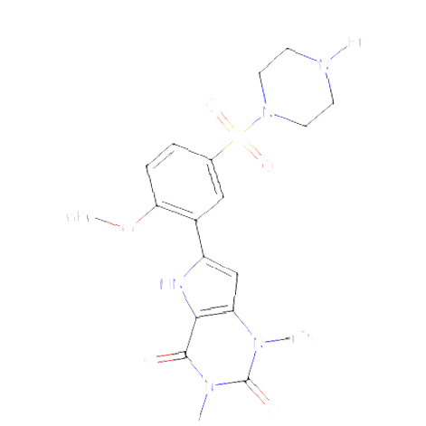 CCCOc1ccc(S(=O)(=O)N2CCN(CC)CC2)cc1-c1cc2c([nH]1)c(=O)n(C)c(=O)n2CCC